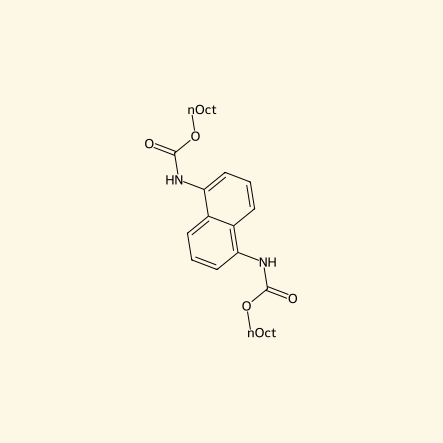 CCCCCCCCOC(=O)Nc1cccc2c(NC(=O)OCCCCCCCC)cccc12